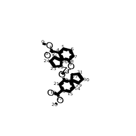 COC(=O)c1cccc([O][Zr]([O]c2cccc(C(=O)OC)c2)([CH]2C=CC=C2)[CH]2C=CC=C2)c1